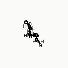 CN(C)CCNc1cc(F)cc(-c2cccc3[nH]c(-c4n[nH]c5cnc(-c6cncc(NC(=O)C7CCCCC7)c6)cc45)cc23)c1